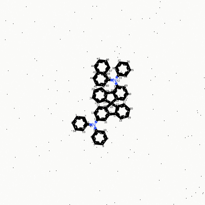 c1ccc(N(c2ccccc2)c2ccc3c(c2)-c2ccccc2C32c3ccccc3-c3c(N(c4ccccc4)c4cccc5ccccc45)cccc32)cc1